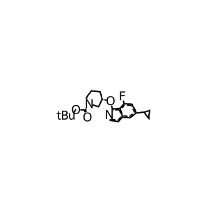 CC(C)(C)OC(=O)N1CCC[C@@H](Oc2nccc3cc(C4CC4)cc(F)c23)C1